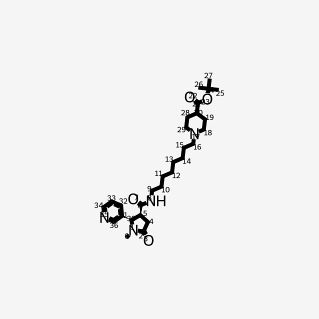 CN1C(=O)C[C@H](C(=O)NCCCCCCCCN2CCC(C(=O)OC(C)(C)C)CC2)[C@H]1c1cccnc1